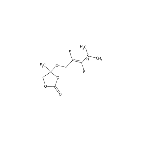 C[SH](C)/C(F)=C(\F)COC1(C(F)(F)F)COC(=O)O1